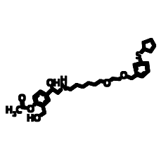 CC(=O)Oc1ccc([C@@H](O)CNCCCCCCOCCOCc2cccc(SC3CCCC3)c2)cc1CO